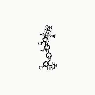 CC[C@H]1CN(c2ncc(NC3=NS(=O)(=O)N=C3NC3CC3)cc2Cl)CCN1C1CCN(Cc2ccc(Cl)cc2-c2nnc[nH]2)CC1